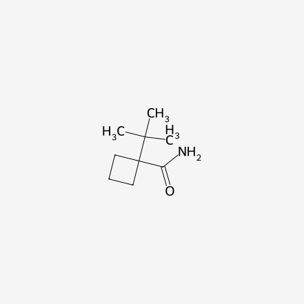 CC(C)(C)C1(C(N)=O)CCC1